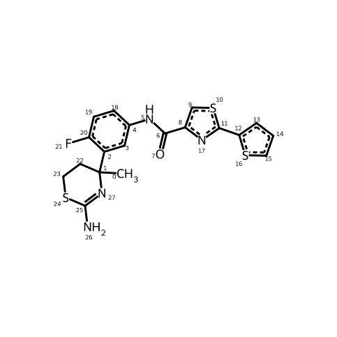 CC1(c2cc(NC(=O)c3csc(-c4cccs4)n3)ccc2F)CCSC(N)=N1